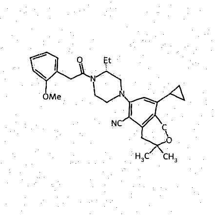 CC[C@@H]1CN(c2cc(C3CC3)c3c(c2C#N)CC(C)(C)OC3)CCN1C(=O)Cc1ccccc1OC